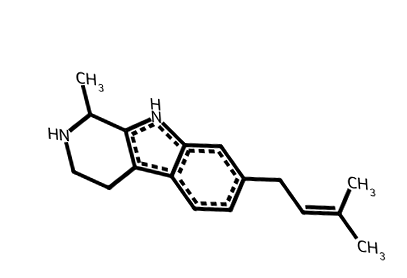 CC(C)=CCc1ccc2c3c([nH]c2c1)C(C)NCC3